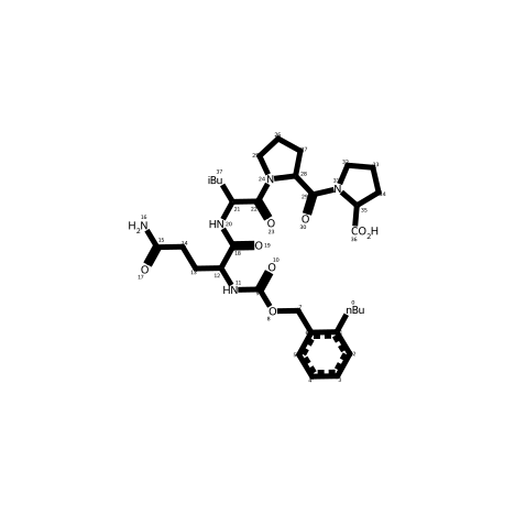 CCCCc1ccccc1COC(=O)NC(CCC(N)=O)C(=O)NC(C(=O)N1CCCC1C(=O)N1CCCC1C(=O)O)C(C)CC